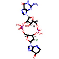 Nc1nc2c(ncn2[C@@H]2O[C@@H]3COP(=O)(O)O[C@H]4[C@H](F)[C@H](n5cnc6c5N=CCC6=O)O[C@@H]4COP(=O)(O)O[C@@H]2[C@@H]3O)c(=O)[nH]1